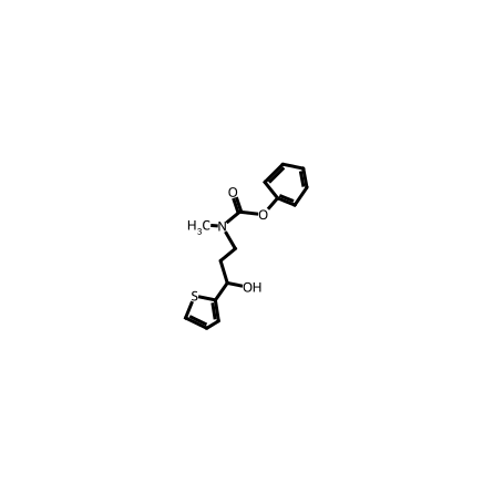 CN(CCC(O)c1cccs1)C(=O)Oc1ccccc1